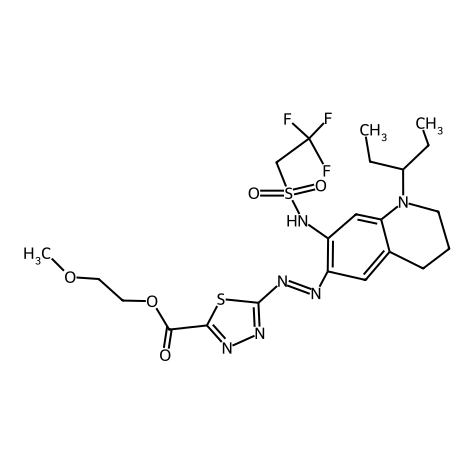 CCC(CC)N1CCCc2cc(N=Nc3nnc(C(=O)OCCOC)s3)c(NS(=O)(=O)CC(F)(F)F)cc21